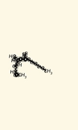 CCCOCCOCCOCCOCCOc1ccc(-c2ccc([C@H](CC(=O)O)NC(=O)CNC(=O)CCCNc3cc(C)ccn3)cc2)c(OC(F)(F)F)c1